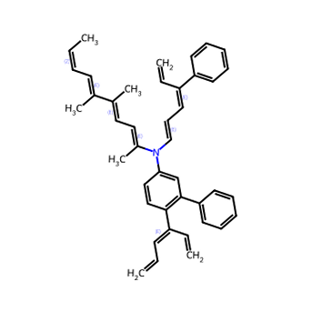 C=C/C=C(\C=C)c1ccc(N(/C=C/C=C(\C=C)c2ccccc2)/C(C)=C/C=C(C)/C(C)=C/C=C\C)cc1-c1ccccc1